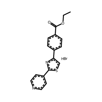 Br.CCOC(=O)c1ccc(-c2csc(-c3ccncc3)n2)cc1